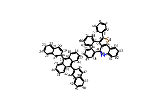 c1ccc(-c2sc3c(c(-c4ccc(-c5ccc6c(-c7ccc8ccccc8c7)c7ccccc7c(-c7ccc8ccccc8c7)c6c5)cc4)nc4ccccc43)c2-c2ccccc2)cc1